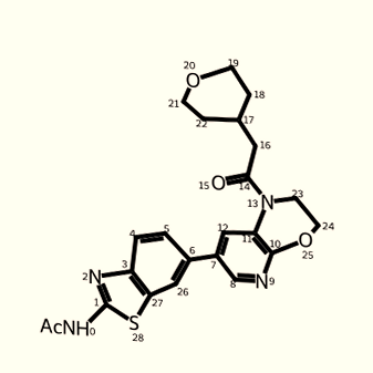 CC(=O)Nc1nc2ccc(-c3cnc4c(c3)N(C(=O)CC3CCOCC3)CCO4)cc2s1